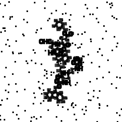 CC(C)(C)OC(=O)NCCCCC(NC(=O)OCC1c2ccccc2-c2ccccc21)C(=O)NCCCCCC(=O)NC(CCC=O)C(=O)NC(CCC(=O)OCc1ccccc1)C(=O)OCc1ccccc1